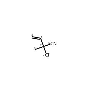 C=CC(C)(Cl)C#N